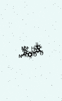 Cn1cnnc1CC1(c2cccc(NC(=O)c3cc(C=O)c4c(n3)C(C)(C)CC4)c2)CC(C#N)C1